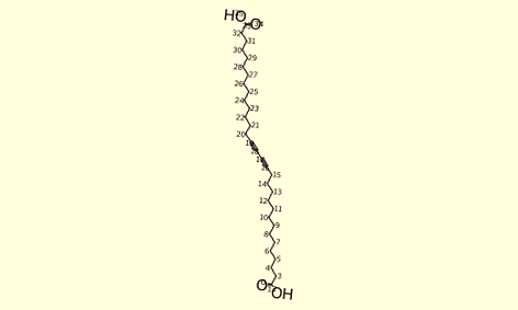 O=C(O)CCCCCCCCCCCCCC#CC#CCCCCCCCCCCCCCC(=O)O